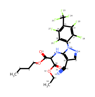 CCCCOC(=O)C(Nc1c(C#N)cnn1-c1c(F)c(F)c(C(F)(F)F)c(F)c1F)C(=O)OCC